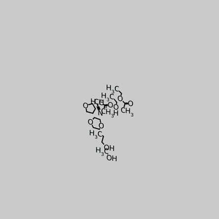 C1CCOC1.C1COCCO1.CC#N.CC(C)=O.CCCO.CCO.CCOC(C)=O.CO